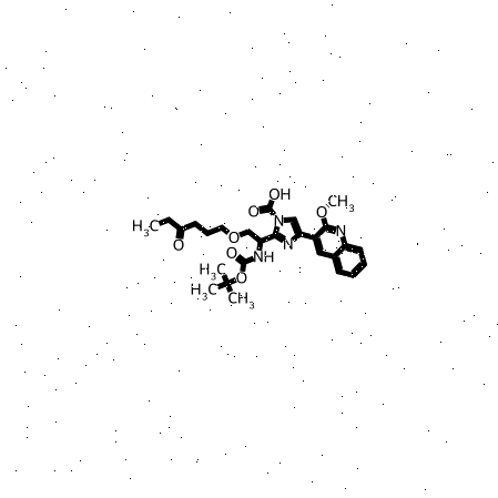 CCC(=O)CCCOCC(NC(=O)OC(C)(C)C)c1nc(-c2cc3ccccc3nc2OC)cn1C(=O)O